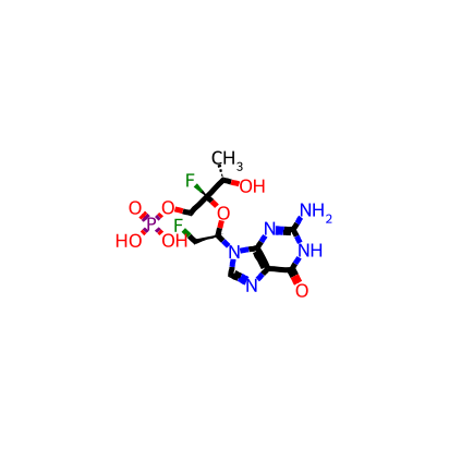 C[C@H](O)[C@@](F)(COP(=O)(O)O)O[C@H](CF)n1cnc2c(=O)[nH]c(N)nc21